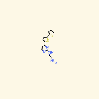 NCCNc1nccc(-c2ccc(-c3cccs3)s2)n1